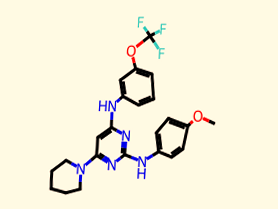 COc1ccc(Nc2nc(Nc3cccc(OC(F)(F)F)c3)cc(N3CCCCC3)n2)cc1